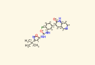 CC(C)(C)c1cc(NC(=O)Nc2cc(-c3cc4cnccc4[nH]c3=O)ccc2F)on1